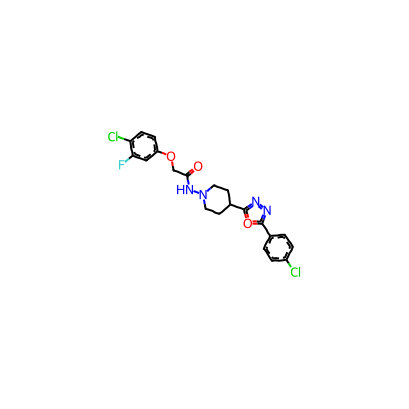 O=C(COc1ccc(Cl)c(F)c1)NN1CCC(c2nnc(-c3ccc(Cl)cc3)o2)CC1